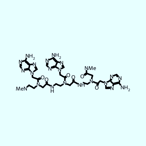 CNCCN(CC(=O)NCCN(CC(=O)NCCN(CC(=O)NC)C(=O)Cn1cnc2c(N)ncnc21)C(=O)Cn1cnc2c(N)ncnc21)C(=O)Cn1cnc2c(N)ncnc21